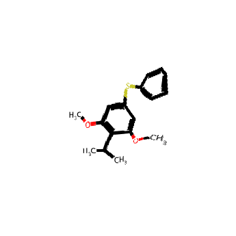 COc1cc(Sc2ccccc2)cc(OC)c1C(C)C